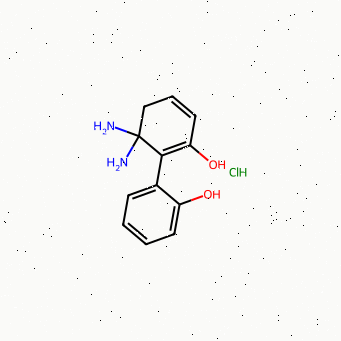 Cl.NC1(N)CC=CC(O)=C1c1ccccc1O